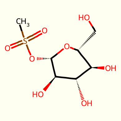 CS(=O)(=O)O[C@@H]1O[C@H](CO)[C@@H](O)[C@H](O)[C@H]1O